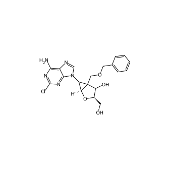 Nc1nc(Cl)nc2c1ncn2C1[C@@H]2O[C@H](CO)C(O)C12COCc1ccccc1